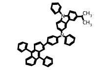 CC(C)c1ccc2c(c1)c1cc(N(c3ccccc3)c3ccc(-c4ccc5c(-c6ccccc6)c6ccccc6c(-c6ccccc6)c5c4)cc3)ccc1n2-c1ccccc1